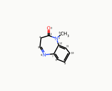 CN1C(=O)CC=Nc2ccccc21